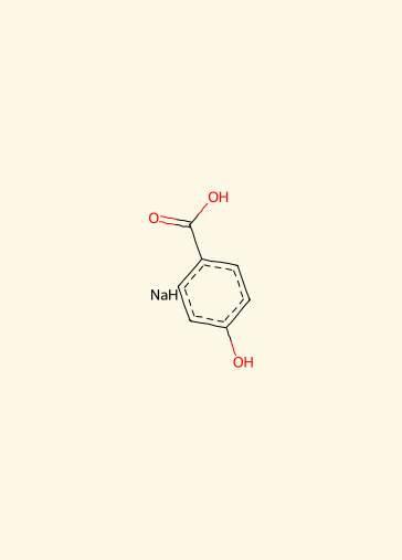 O=C(O)c1ccc(O)cc1.[NaH]